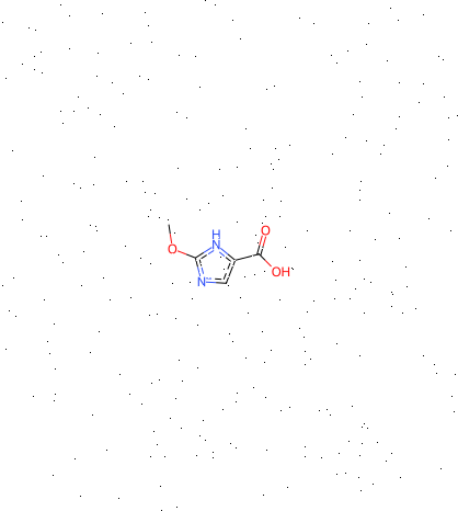 COc1ncc(C(=O)O)[nH]1